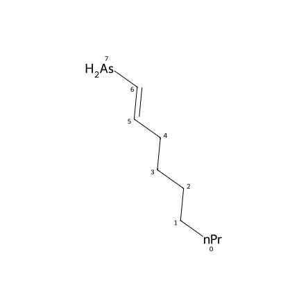 CCCCCCCC=C[AsH2]